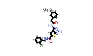 COc1cccc(CC(=O)Nc2n[nH]c3sc(C(=O)NCc4ccccc4Cl)cc23)c1